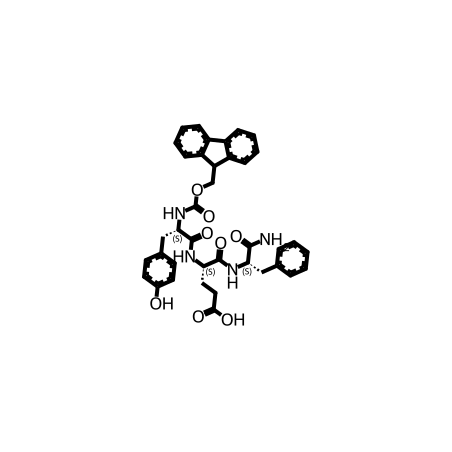 NC(=O)[C@H](Cc1ccccc1)NC(=O)[C@H](CCC(=O)O)NC(=O)[C@H](Cc1ccc(O)cc1)NC(=O)OCC1c2ccccc2-c2ccccc21